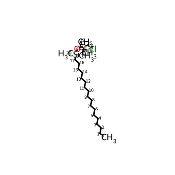 CCCCCCCCCCCCCCCCCC[Si](C)(C)O[Si](C)(C)CCl